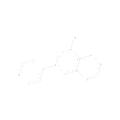 Brc1nc(-c2ccccc2)nc2nccnc12